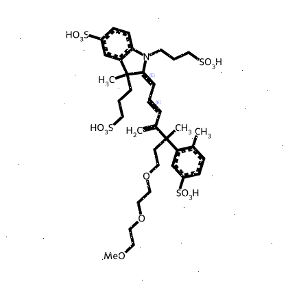 C=C(/C=C/C=C1/N(CCCS(=O)(=O)O)c2ccc(S(=O)(=O)O)cc2C1(C)CCCS(=O)(=O)O)C(C)(CCOCCOCCOC)c1cc(S(=O)(=O)O)ccc1C